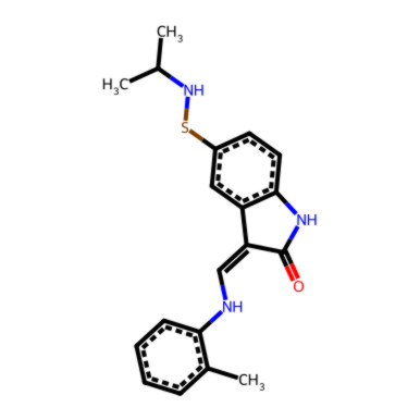 Cc1ccccc1N/C=C1\C(=O)Nc2ccc(SNC(C)C)cc21